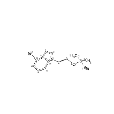 CC(C)(C)[Si](C)(C)OCCn1ncc2c(Br)cccc21